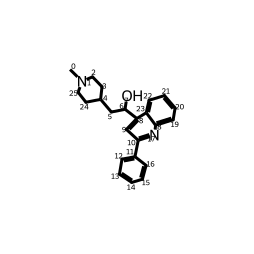 CN1CCC(CC(O)c2cc(-c3ccccc3)nc3ccccc23)CC1